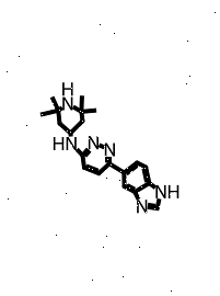 CC1(C)CC(Nc2ccc(-c3ccc4[nH]cnc4c3)nn2)CC(C)(C)N1